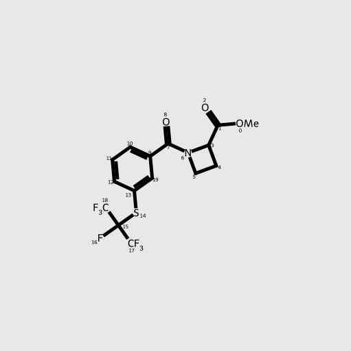 COC(=O)C1CCN1C(=O)c1cccc(SC(F)(C(F)(F)F)C(F)(F)F)c1